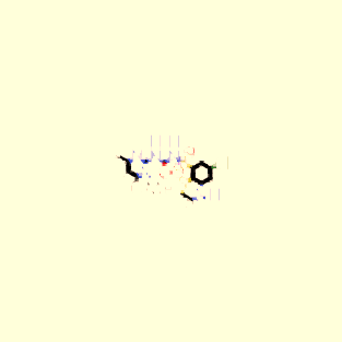 COc1cc(C)nc(NC(=O)NS(=O)(=O)c2cc(Cl)cc3c2SCCN3)n1